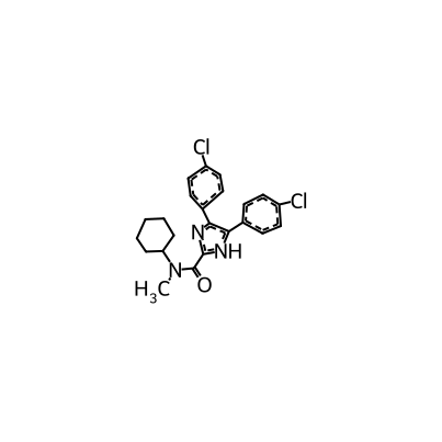 CN(C(=O)c1nc(-c2ccc(Cl)cc2)c(-c2ccc(Cl)cc2)[nH]1)C1CCCCC1